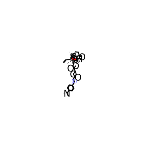 C=C[C@@]1(C)C[C@H](C)[C@]23CCC(=O)[C@H]2[C@@](C)([C@H](C)CC3)[C@H](OC(=O)COC(=O)/C=C/c2ccc(N(C)C)cc2)C1